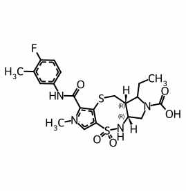 CCC1[C@H]2CSc3c(cn(C)c3C(=O)Nc3ccc(F)c(C)c3)S(=O)(=O)N[C@H]2CN1C(=O)O